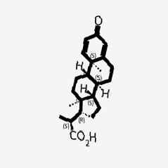 C[C@H](C(=O)O)[C@H]1CC[C@H]2[C@@H]3CCC4=CC(=O)C=C[C@]4(C)[C@H]3CC[C@]12C